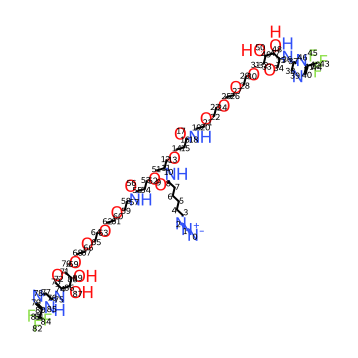 [N-]=[N+]=NCCCCCC(=O)NC(COCCC(=O)NCCOCCOCCOCCOC[C@H]1OC[C@H](Nc2cncc(C(F)(F)F)n2)[C@@H](O)[C@H]1O)COCCC(=O)NCCOCCOCCOCCOC[C@H]1OC[C@H](Nc2cncc(C(F)(F)F)n2)[C@@H](O)[C@H]1O